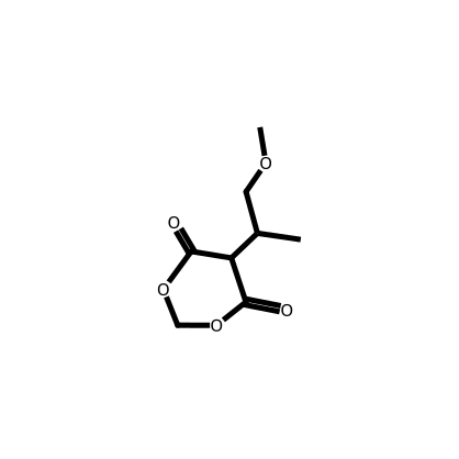 COCC(C)C1C(=O)OCOC1=O